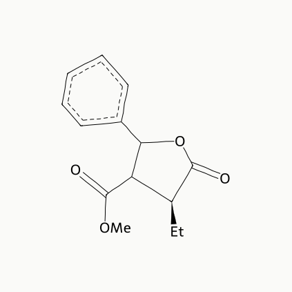 CC[C@@H]1C(=O)OC(c2ccccc2)C1C(=O)OC